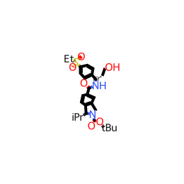 CCS(=O)(=O)c1ccc([C@H](CCO)NC(=O)c2ccc3c(c2)CN(C(=O)OC(C)(C)C)C3C(C)C)cc1